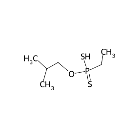 CCP(=S)(S)OCC(C)C